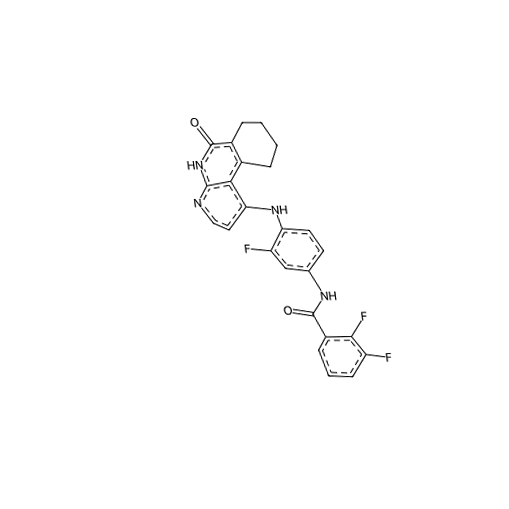 O=C(Nc1ccc(Nc2ccnc3[nH]c(=O)c4c(c23)CCCC4)c(F)c1)c1cccc(F)c1F